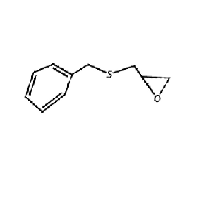 c1ccc(CSCC2CO2)cc1